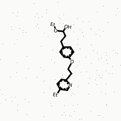 CCOC(O)CCc1ccc(OCCc2ccc(CC)cn2)cc1